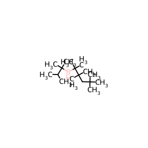 CC(C)C(C)(C)BC(C)(C)C(C)(C)CC(C)(C)C